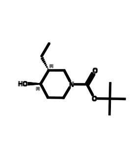 CC[C@@H]1CN(C(=O)OC(C)(C)C)CC[C@H]1O